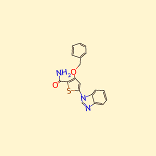 NC(=O)c1sc(-n2cnc3ccccc32)cc1OCc1ccccc1